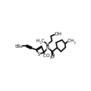 CC1CCC(C(=O)N(N(C)CCO)C2(C(=O)O)C=C(C#CC(C)(C)C)S2)CC1